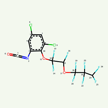 O=C=Nc1cc(Cl)cc(Cl)c1OC(F)(F)C(F)OC(F)(F)C(F)(F)C(F)F